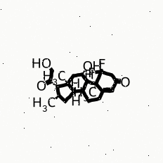 C[C@@H]1C[C@H]2[C@@H]3CCC4=CC(=O)CC(F)(F)[C@]4(C)[C@H]3[C@@H](O)C[C@]2(C)[C@H]1C(=O)CO